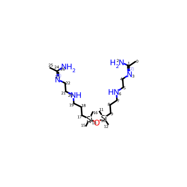 C/C(N)=N/CCNCCC[Si](C)(C)O[Si](C)(C)CCCNCC/N=C(/C)N